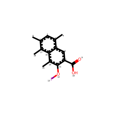 Cc1cc(C)c2cc(C(=O)O)c(OI)c(C)c2c1C